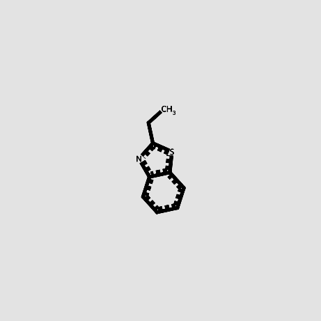 CCc1nc2c[c]ccc2s1